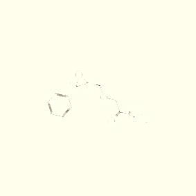 NC(=O)COC[C@@H]1O[C@H]1c1ccccc1